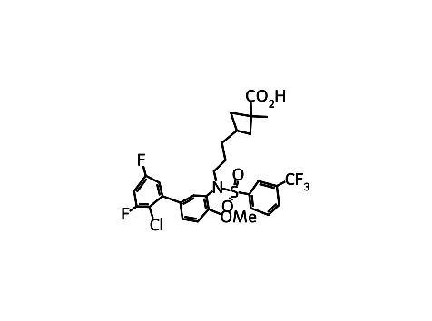 COc1ccc(-c2cc(F)cc(F)c2Cl)cc1N(CCCC1CC(C)(C(=O)O)C1)S(=O)(=O)c1cccc(C(F)(F)F)c1